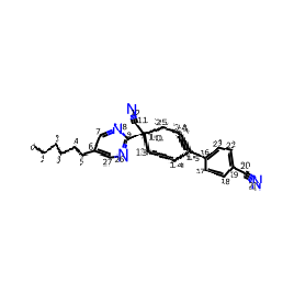 CCCCCCc1cnc(C2(C#N)C=CC(c3ccc(C#N)cc3)=CC2)nc1